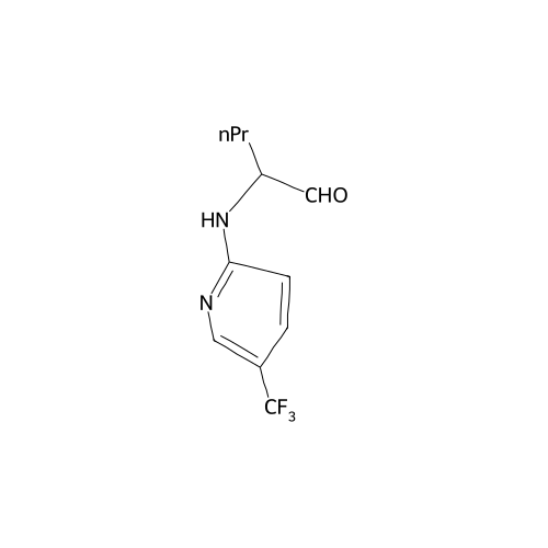 CCCC(C=O)Nc1ccc(C(F)(F)F)cn1